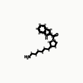 NCCCCCCC1CCN(C(=O)c2cc3ccccc3[nH]2)C1